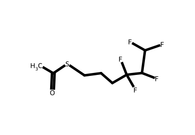 CC(=O)SCCCC(F)(F)C(F)C(F)F